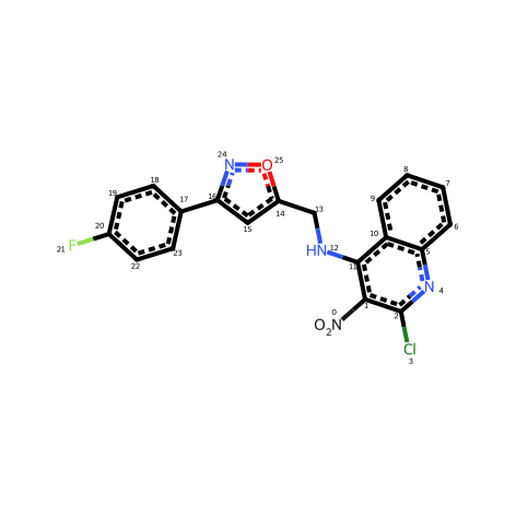 O=[N+]([O-])c1c(Cl)nc2ccccc2c1NCc1cc(-c2ccc(F)cc2)no1